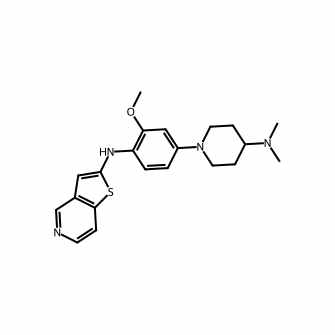 COc1cc(N2CCC(N(C)C)CC2)ccc1Nc1cc2cnccc2s1